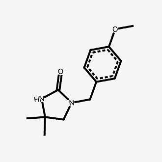 COc1ccc(CN2CC(C)(C)NC2=O)cc1